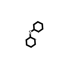 [CH]1CCCCC1SC1[CH]CCCC1